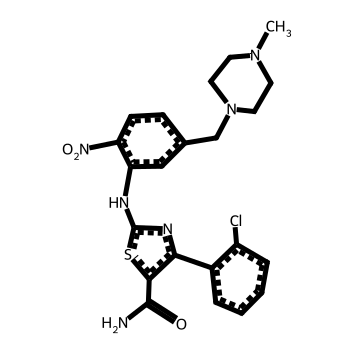 CN1CCN(Cc2ccc([N+](=O)[O-])c(Nc3nc(-c4ccccc4Cl)c(C(N)=O)s3)c2)CC1